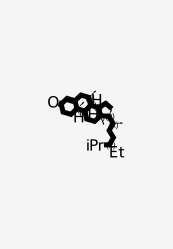 CC[C@H](CC[C@@H](C)[C@H]1CC[C@H]2[C@@H]3[C@@H](C)CC4=CC(=O)CC[C@]4(C)[C@H]3CC[C@]12C)C(C)C